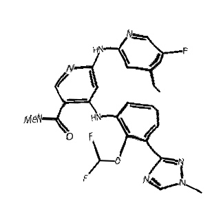 CNC(=O)c1cnc(Nc2cc(C)c(F)cn2)cc1Nc1cccc(-c2ncn(C)n2)c1OC(F)F